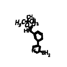 Bc1cncc(-c2cccc(NC(=O)OC(C)(C)C)c2)c1